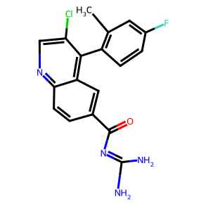 Cc1cc(F)ccc1-c1c(Cl)cnc2ccc(C(=O)N=C(N)N)cc12